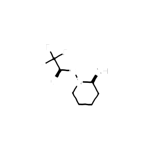 N=C1CCCCN1OC(=O)C(F)(F)F